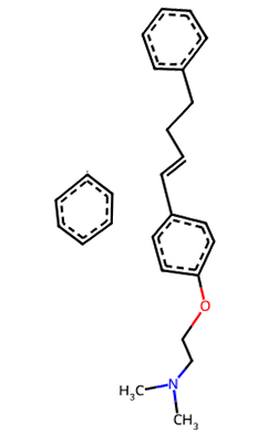 CN(C)CCOc1ccc(C=CCCc2ccccc2)cc1.[c]1ccccc1